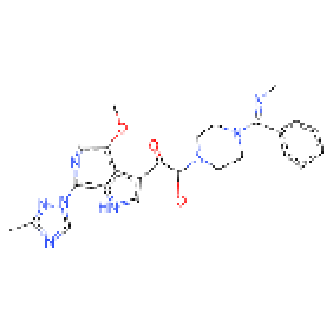 CN=C(c1ccccc1)N1CCN(C(=O)C(=O)c2c[nH]c3c(-n4cnc(C)n4)ncc(OC)c23)CC1